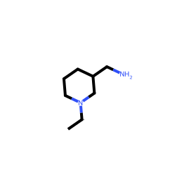 C[CH]N1CCCC(CN)C1